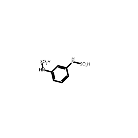 O=S(=O)(O)Nc1cccc(NS(=O)(=O)O)c1